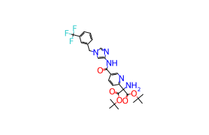 CC(C)(C)OC(=O)C(N)(C(=O)OC(C)(C)C)c1ccc(C(=O)Nc2cn(Cc3cccc(C(F)(F)F)c3)cn2)cn1